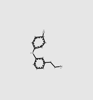 CC(=O)CCc1cccc(Oc2ccc(Cl)cc2)c1